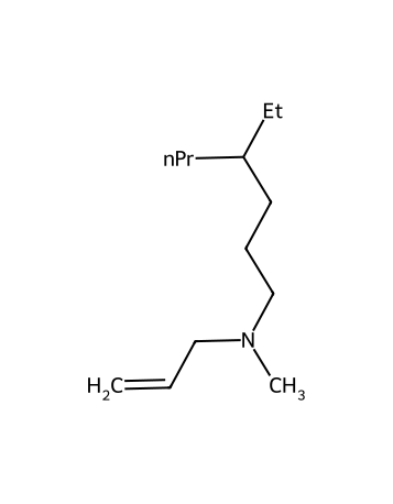 C=CCN(C)CCCC(CC)CCC